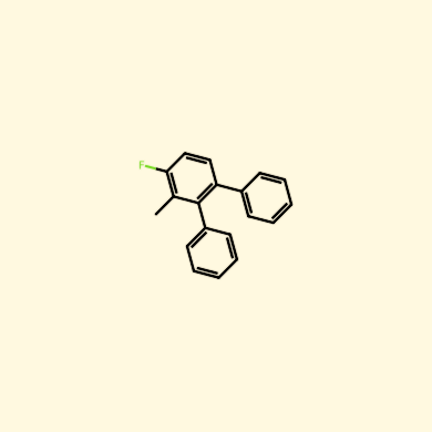 Cc1c(F)ccc(-c2ccccc2)c1-c1ccccc1